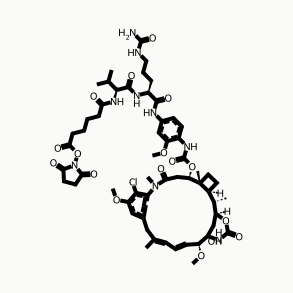 COc1cc(NC(=O)[C@H](CCCNC(N)=O)NC(=O)[C@@H](NC(=O)CCCCC(=O)ON2C(=O)CCC2=O)C(C)C)ccc1NC(=O)O[C@H]1CC(=O)N(C)c2cc(cc(OC)c2Cl)C/C(C)=C/C=C/[C@@H](OC)[C@@]2(O)C[C@H](OC(=O)N2)[C@@H](C)[C@@H]2CC[C@@]12C